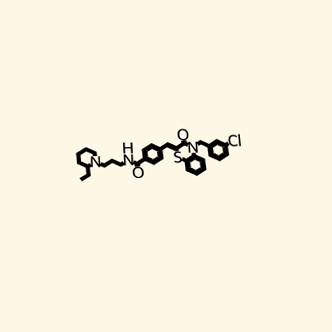 CCC1CCCCN1CCCNC(=O)c1ccc(C=C2Sc3ccccc3N(Cc3cccc(Cl)c3)C2=O)cc1